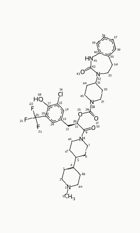 CN1CCC(C2CCN(C(=O)[C@@H](Cc3cc(Cl)c(O)c(C(F)(F)F)c3)OC(=O)N3CCC(N4CCc5ccccc5NC4=O)CC3)CC2)CC1